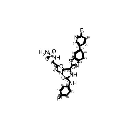 NS(=O)(=O)NCc1nnc(C(NC(=O)Nc2ccc(F)cc2)c2nc3ccc(-c4ccc(F)nc4)cc3s2)o1